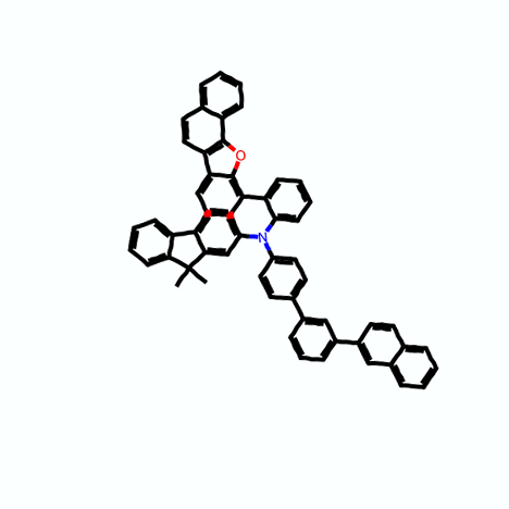 CC1(C)c2ccccc2-c2ccc(N(c3ccc(-c4cccc(-c5ccc6ccccc6c5)c4)cc3)c3ccccc3-c3cccc4c3oc3c5ccccc5ccc43)cc21